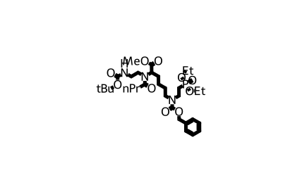 CCCC(=O)N(CCNC(=O)OC(C)(C)C)C(CCCCN(CCP(=O)(OCC)OCC)C(=O)OCc1ccccc1)C(=O)OC